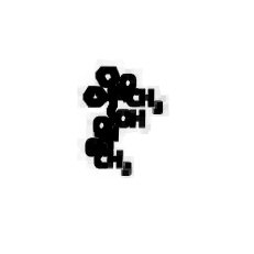 CCC(=O)N(C1CCCCC1)C(CCC(O)c1nc(OC(C)=O)co1)c1ccccc1